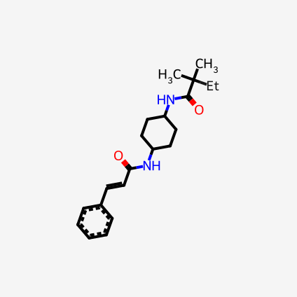 CCC(C)(C)C(=O)NC1CCC(NC(=O)/C=C/c2ccccc2)CC1